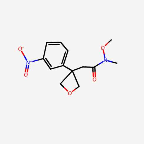 CON(C)C(=O)CC1(c2cccc([N+](=O)[O-])c2)COC1